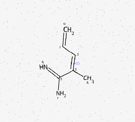 C=C/C=C(/C)C(=N)N